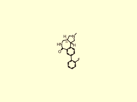 CN1C[C@@H]2CNC(=O)c3cc(-c4ccccc4F)ccc3[C@H]2C1